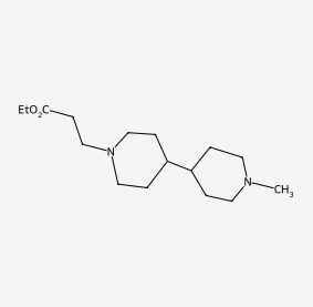 CCOC(=O)CCN1CCC(C2CCN(C)CC2)CC1